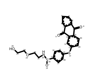 O=C1c2ccccc2C(=O)c2cc(Sc3ccc([S+]([O-])NCCOCCO)cc3)ccc21